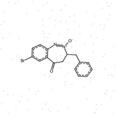 O=C1CC(Cc2ccccc2)[N+]([O-])=Nc2ccc(Br)cc21